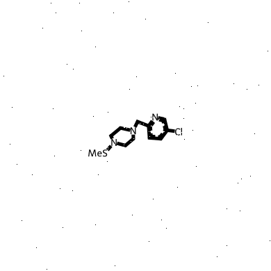 CSN1CCN(Cc2ccc(Cl)cn2)CC1